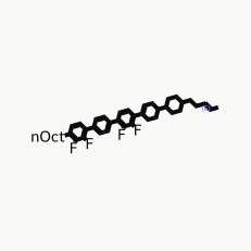 C/C=C/CCC1CCC(C2CC=C(c3ccc(-c4ccc(-c5ccc(CCCCCCCC)c(F)c5F)cc4)c(F)c3F)CC2)CC1